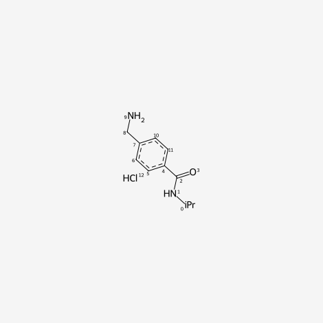 CC(C)NC(=O)c1ccc(CN)cc1.Cl